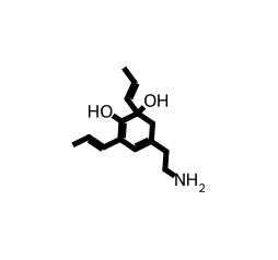 CC=CC1=C(O)C(O)(C=CC)CC(CCN)=C1